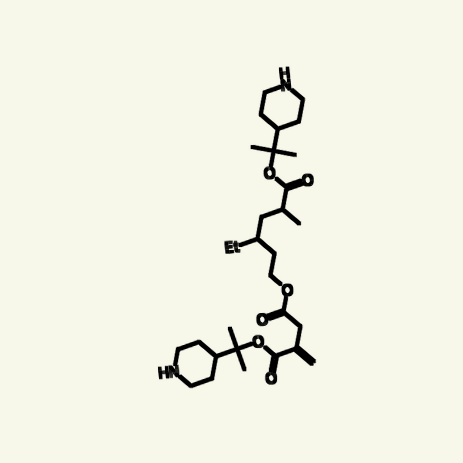 C=C(CC(=O)OCCC(CC)CC(C)C(=O)OC(C)(C)C1CCNCC1)C(=O)OC(C)(C)C1CCNCC1